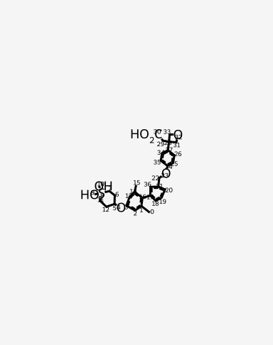 Cc1cc(OC2CCS(O)(O)CC2)cc(C)c1-c1cccc(COc2ccc(C3(CC(=O)O)COC3)cc2)c1